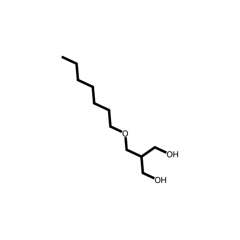 CCCCCCCOCC(CO)CO